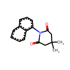 CC1(C)CC(=O)N(c2cccc3ccccc23)C(=O)C1